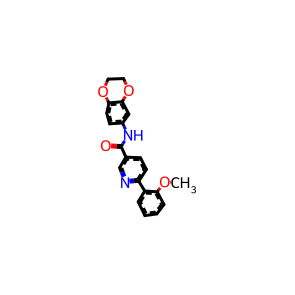 COc1ccccc1-c1ccc(C(=O)Nc2ccc3c(c2)OCCO3)cn1